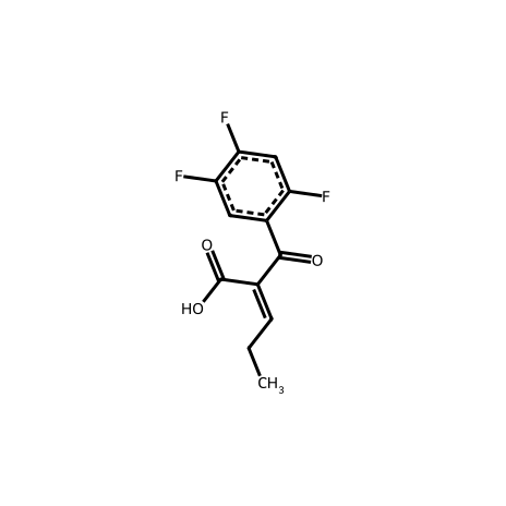 CCC=C(C(=O)O)C(=O)c1cc(F)c(F)cc1F